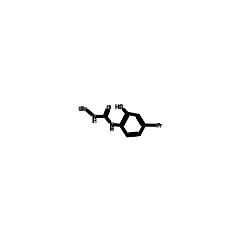 CC(C)c1ccc(NC(=O)NC(C)(C)C)c(O)c1